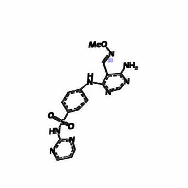 CO/N=C/c1c(N)ncnc1Nc1ccc(S(=O)(=O)Nc2ncccn2)cc1